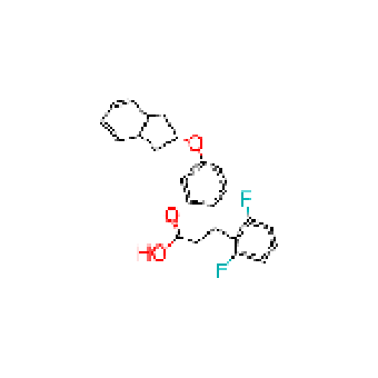 O=C(O)CC(c1ccc(OC2CC3C=CC=CC3C2)cc1)c1c(F)cccc1F